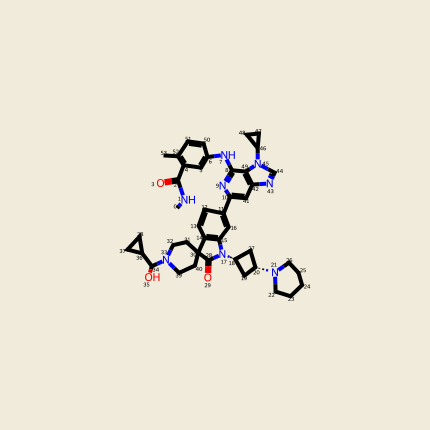 CNC(=O)c1cc(Nc2nc(-c3ccc4c(c3)N([C@H]3C[C@@H](N5CCCCC5)C3)C(=O)C43CCN(C(O)C4CC4)CC3)cc3ncn(C4CC4)c23)ccc1C